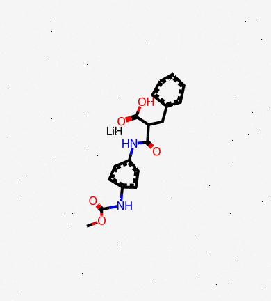 COC(=O)Nc1ccc(NC(=O)C(Cc2ccccc2)C(=O)O)cc1.[LiH]